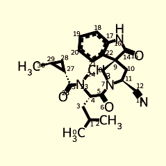 CC(C)C[C@@H](C(=O)N1C[C@]2(C[C@H]1C#N)C(=O)Nc1ccccc12)N(C)C(=O)[C@H]1C[C@@H]1C